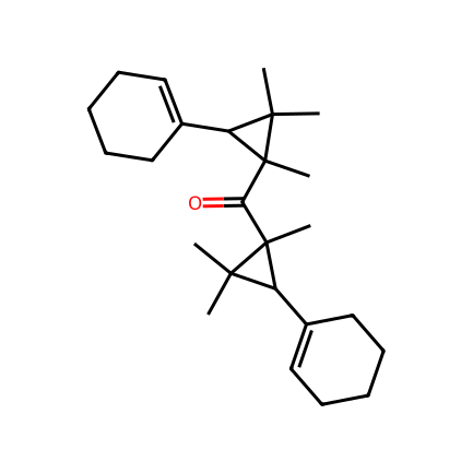 CC1(C)C(C2=CCCCC2)C1(C)C(=O)C1(C)C(C2=CCCCC2)C1(C)C